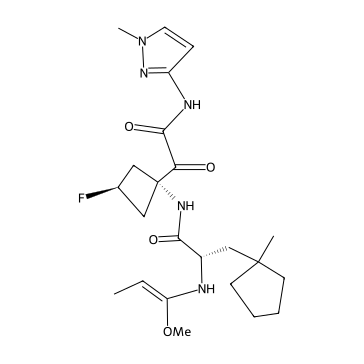 CC=C(N[C@@H](CC1(C)CCCC1)C(=O)N[C@]1(C(=O)C(=O)Nc2ccn(C)n2)C[C@@H](F)C1)OC